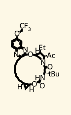 CC[C@@H]1[C@@H]2CN(C(=O)[C@H](C(C)(C)C)NC(=O)O[C@@H]3C[C@H]3CCCCCc3nc4ccc(OCC(F)(F)F)cc4nc3O2)[C@@H]1C(C)=O